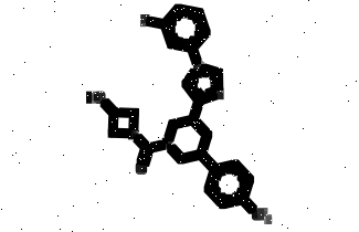 O=C(N1CC(O)C1)N1CC(c2ccc(C(F)(F)F)cc2)CC(c2cn(-c3cccc(F)c3)cn2)C1